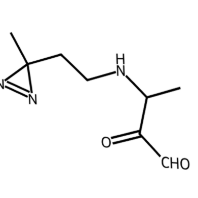 CC(NCCC1(C)N=N1)C(=O)C=O